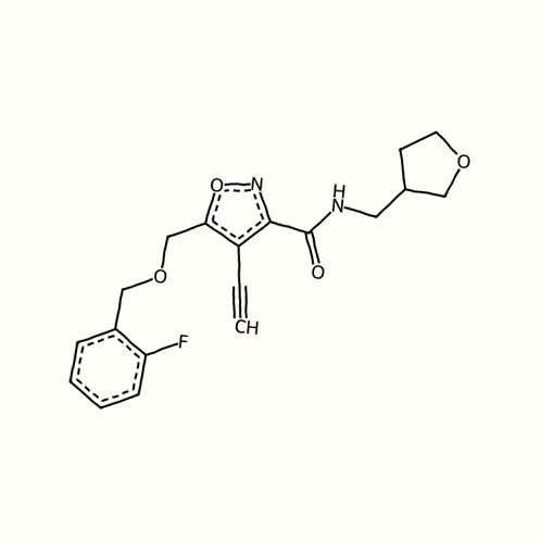 C#Cc1c(C(=O)NCC2CCOC2)noc1COCc1ccccc1F